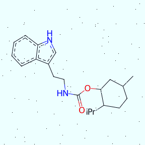 CC1CCC(C(C)C)C(OC(=O)NCCc2c[nH]c3ccccc23)C1